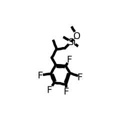 CO[Si](C)(C)CC(C)Cc1c(F)c(F)c(F)c(F)c1F